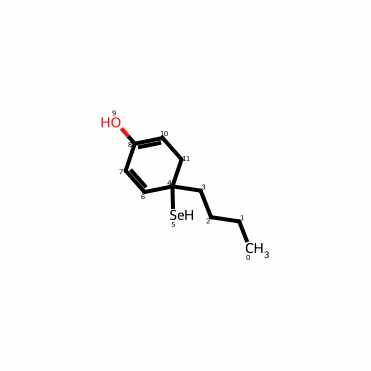 CCCCC1([SeH])C=CC(O)=CC1